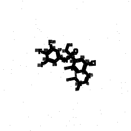 CCN(C)/C=N\c1cc(C)c(S(=O)(CC)=Nc2cc(F)c(F)c(F)c2)cc1Cl